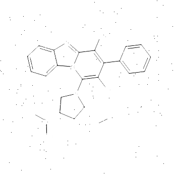 CCc1c(-c2ccccc2)c(C#N)c2nc3ccccc3n2c1N1CC[C@H](N(C)C)C1.O=CO